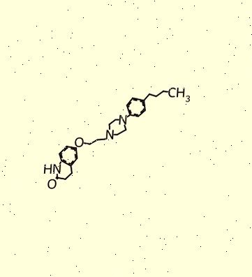 CCCCc1ccc(N2CCN(CCCOc3ccc4c(c3)CCC(=O)N4)CC2)cc1